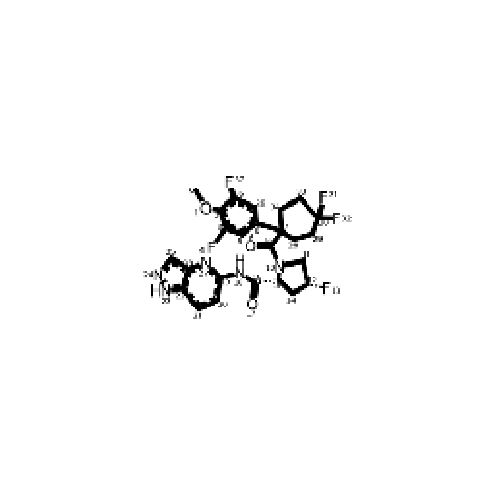 COc1c(F)cc(C2(C(=O)N3C[C@H](F)C[C@@H]3C(=O)Nc3ccc4[nH]ncc4n3)CCC(F)(F)CC2)cc1F